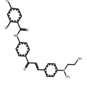 CN(CCO)c1ccc(/C=C/C(=O)c2ccc(NC(=O)c3ccc(Cl)cc3Cl)cc2)cc1